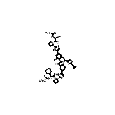 COC(=O)NC(C(=O)N1CCC[C@H]1c1ncc(-c2cc(F)c3c(c2)OC(c2cnc(C4CC4)s2)n2c-3c(F)c3cc(-c4cnc([C@@H]5CCCN5C(=O)C(NC(=O)OC)C5CCOCC5)[nH]4)ccc32)[nH]1)C(C)C